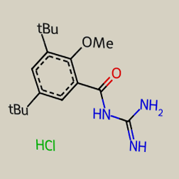 COc1c(C(=O)NC(=N)N)cc(C(C)(C)C)cc1C(C)(C)C.Cl